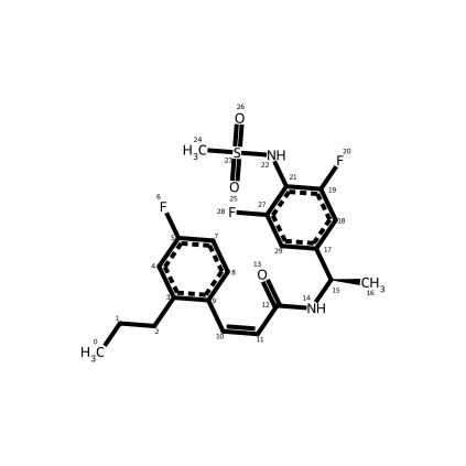 CCCc1cc(F)ccc1/C=C\C(=O)N[C@H](C)c1cc(F)c(NS(C)(=O)=O)c(F)c1